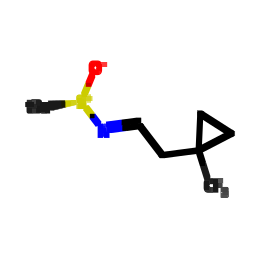 CC(C)(C)[S@@+]([O-])/N=C/CC1(C(F)(F)F)CC1